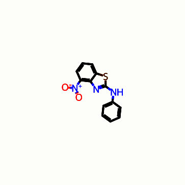 O=[N+]([O-])c1cccc2sc(Nc3ccccc3)nc12